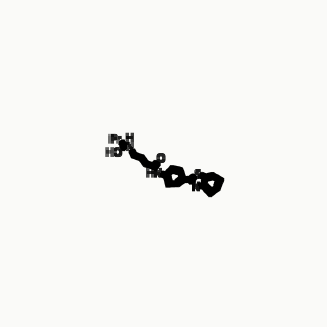 CC(C)C(O)NCCCC(=O)Nc1ccc(-c2nc3ccccc3s2)cc1